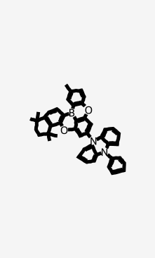 Cc1ccc2c(c1)B1c3ccc4c(c3Oc3cc(N5c6ccccc6N(c6ccccc6)c6ccccc65)cc(c31)O2)C(C)(C)CCC4(C)C